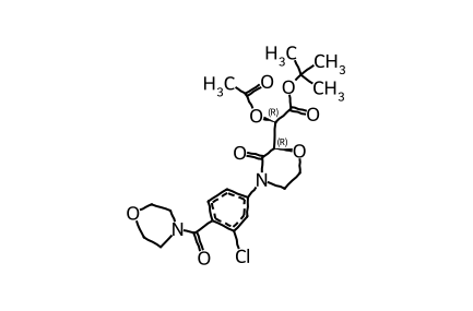 CC(=O)O[C@@H](C(=O)OC(C)(C)C)[C@H]1OCCN(c2ccc(C(=O)N3CCOCC3)c(Cl)c2)C1=O